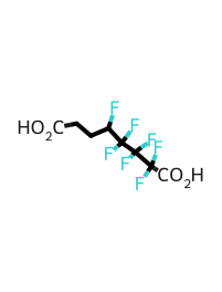 O=C(O)CCC(F)C(F)(F)C(F)(F)C(F)(F)C(=O)O